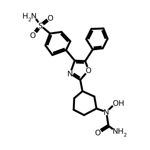 NC(=O)N(O)C1CCCC(c2nc(-c3ccc(S(N)(=O)=O)cc3)c(-c3ccccc3)o2)C1